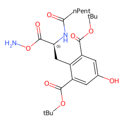 CCCCCC(=O)N[C@@H](Cc1c(C(=O)OC(C)(C)C)cc(O)cc1C(=O)OC(C)(C)C)C(=O)ON